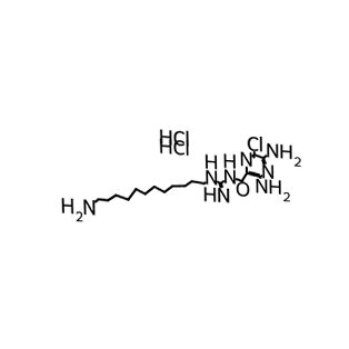 Cl.Cl.N=C(NCCCCCCCCCCCCN)NC(=O)c1nc(Cl)c(N)nc1N